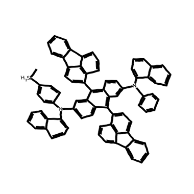 C[SiH2]c1ccc(N(c2ccc3c(-c4ccc5c6c(cccc46)-c4ccccc4-5)c4cc(N(c5ccccc5)c5cccc6ccccc56)ccc4c(-c4ccc5c6c(cccc46)-c4ccccc4-5)c3c2)c2cccc3ccccc23)cc1